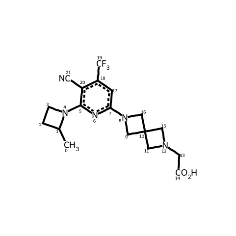 CC1CCN1c1nc(N2CC3(CN(CC(=O)O)C3)C2)cc(C(F)(F)F)c1C#N